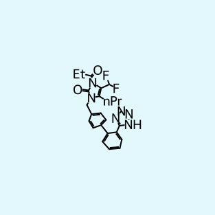 CCCc1c(C(F)F)n(C(=O)CC)c(=O)n1Cc1ccc(-c2ccccc2-c2nnn[nH]2)cc1